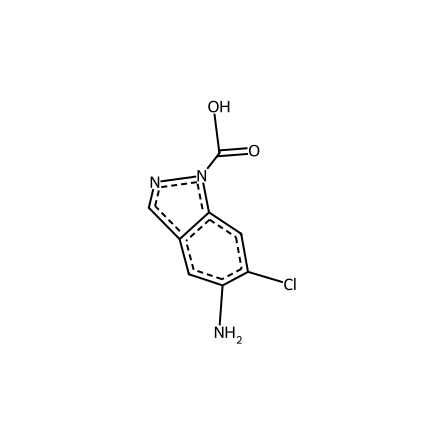 Nc1cc2cnn(C(=O)O)c2cc1Cl